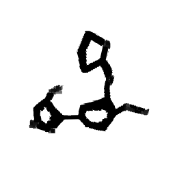 CCCc1c[nH]nc1-c1ccc(OC)c(OC2CCCO2)c1